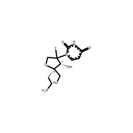 NCC[C@]1(CO)OCC(F)(n2ccc(=O)[nH]c2=O)[C@@H]1O